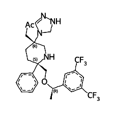 CC(=O)C[C@]1(N2C=NNC2)CC[C@@](CO[C@H](C)c2cc(C(F)(F)F)cc(C(F)(F)F)c2)(c2ccccc2)NC1